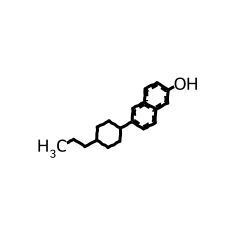 CCCC1CCC(c2ccc3cc(O)ccc3c2)CC1